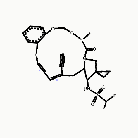 C#C/C1=C\C=C/Cc2ccccc2OCCN(C)C(=O)N2CC3(CC3)C(NS(=O)(=O)C(F)F)C2C1